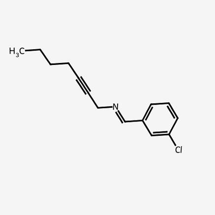 CCCCC#CC/N=C/c1cccc(Cl)c1